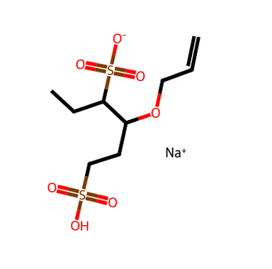 C=CCOC(CCS(=O)(=O)O)C(CC)S(=O)(=O)[O-].[Na+]